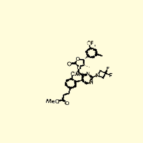 COC(=O)CCc1ccc(OC)c(-c2cnc(N3CC(F)(F)C3)nc2CN2C(=O)O[C@H](c3cc(C)cc(C(F)(F)F)c3)[C@@H]2C)c1